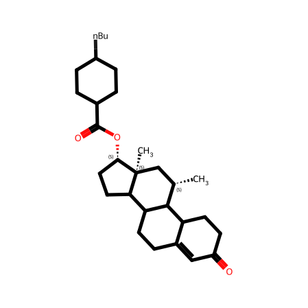 CCCCC1CCC(C(=O)O[C@H]2CCC3C4CCC5=CC(=O)CCC5C4[C@@H](C)C[C@@]32C)CC1